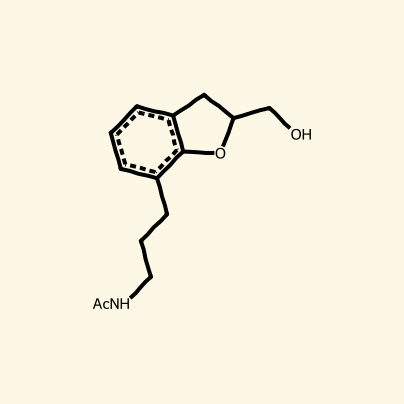 CC(=O)NCCCc1cccc2c1OC(CO)C2